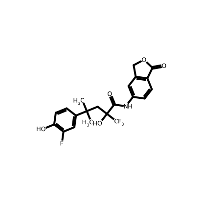 CC(C)(CC(O)(C(=O)Nc1ccc2c(c1)COC2=O)C(F)(F)F)c1ccc(O)c(F)c1